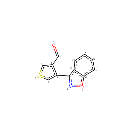 O=Cc1cscc1-c1noc2ccccc12